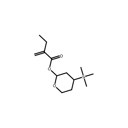 C=C(CC)C(=O)OC1CC([Si](C)(C)C)CCO1